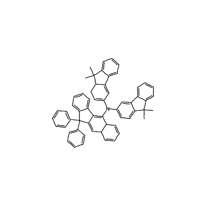 CC1(C)c2ccccc2-c2cc(N(C3=CCC4C(=C3)c3ccccc3C4(C)C)C3=C4C(=CC5C=CC=CC35)C(c3ccccc3)(c3ccccc3)c3ccccc34)ccc21